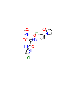 O=C(Nc1ccc(Cl)cn1)[C@@H]1[C@H](C(=O)Nc2ccc(-n3ccccc3=O)cc2F)[C@H]1C(=O)N1CCOCC1